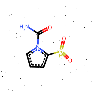 NC(=O)n1cccc1[SH](=O)=O